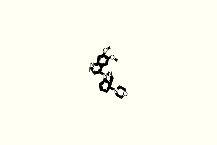 COc1cc2nncc(-n3ncc4c(N5CCOCC5)cccc43)c2cc1OC